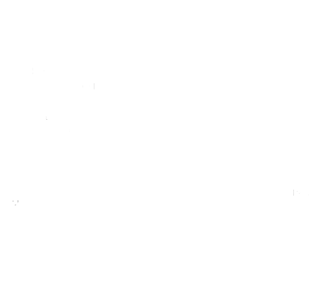 C=C(C)C(=O)OCc1cc(C2CCC(C3CCC(CCCCC)CC3)CC2)ccc1OC